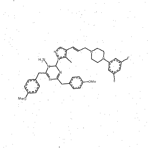 COc1ccc(CC2=NC(n3ncc(C=CCN4CCN(c5cc(F)cc(F)c5)CC4)c3C)N(N)C(Cc3ccc(OC)cc3)=N2)cc1